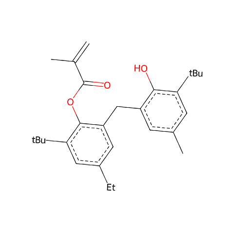 C=C(C)C(=O)Oc1c(Cc2cc(C)cc(C(C)(C)C)c2O)cc(CC)cc1C(C)(C)C